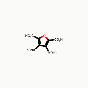 CCCCCc1c(C(=O)O)oc(C(=O)O)c1CCCCC